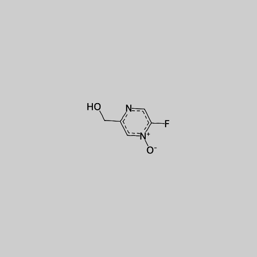 [O-][n+]1cc(CO)ncc1F